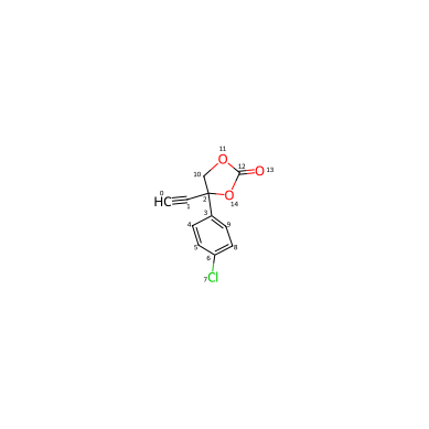 C#CC1(c2ccc(Cl)cc2)COC(=O)O1